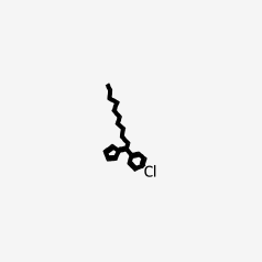 CCCCCCCCCCC(=C1C=CC=C1)c1ccc(Cl)cc1